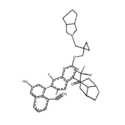 C#Cc1cccc2cc(O)cc(-c3c(F)cc4c(N5CC6CCC(C5)N6C(=O)C(F)(F)F)nc(OCC5(CN6CC7CCCC7C6)CC5)nc4c3F)c12